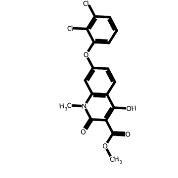 COC(=O)c1c(O)c2ccc(Oc3cccc(Cl)c3Cl)cc2n(C)c1=O